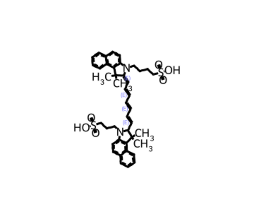 CC1(C)\C(=C/C=C/C=C/C=C/C2N(CCCS(=O)(=O)O)c3ccc4ccccc4c3C2(C)C)N(CCCCS(=O)(=O)O)c2ccc3ccccc3c21